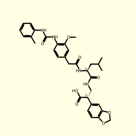 COc1cc(CC(=O)N[C@@H](CC(C)C)C(=O)NC[C@@H](C(=O)O)c2ccc3c(c2)OCO3)ccc1NC(=O)Nc1ccccc1C